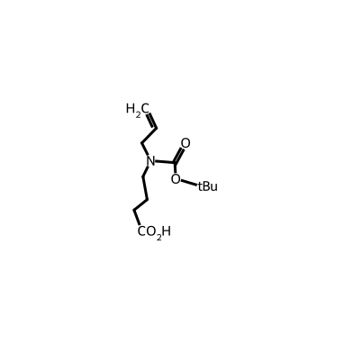 C=CCN(CCCC(=O)O)C(=O)OC(C)(C)C